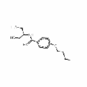 CCCCOc1ccc(C(=N)N[C@H](CN)CO)cc1